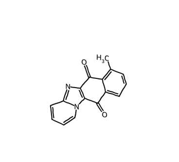 Cc1cccc2c1C(=O)c1nc3ccccn3c1C2=O